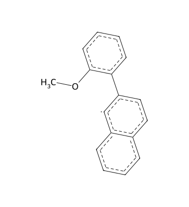 COc1ccccc1-c1[c]c2ccccc2cc1